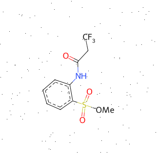 COS(=O)(=O)c1ccccc1NC(=O)CC(F)(F)F